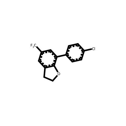 FC(F)(F)c1cc2c(c(-c3ccc(Cl)cc3)c1)O[CH]C2